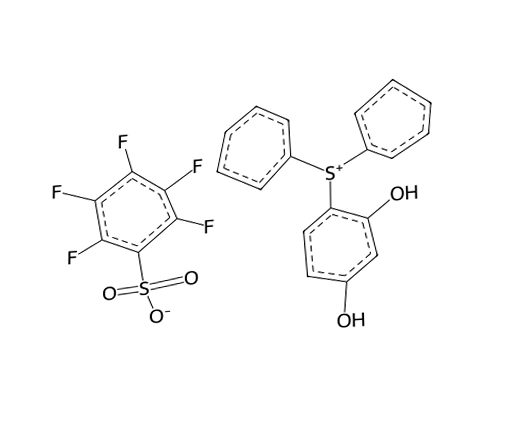 O=S(=O)([O-])c1c(F)c(F)c(F)c(F)c1F.Oc1ccc([S+](c2ccccc2)c2ccccc2)c(O)c1